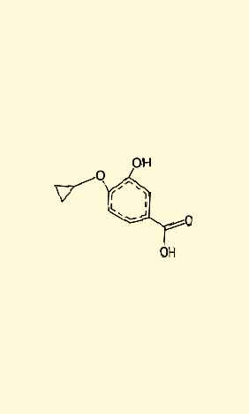 O=C(O)c1ccc(OC2CC2)c(O)c1